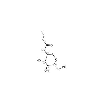 CCCC(=O)N[C@H]1[CH]O[C@H](CO)[C@@H](O)[C@@H]1O